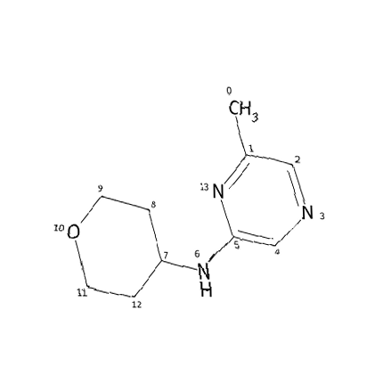 Cc1cncc(NC2CCOCC2)n1